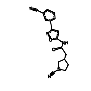 N#Cc1cccc(-c2cc(NC(=O)C[C@H]3CCN(C#N)C3)on2)c1